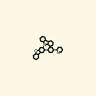 c1ccc(-c2ccc(-c3cc4c(cc3-n3c5ccccc5c5ccccc53)oc3ccccc34)cc2)nc1